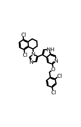 Clc1ccc(COc2cc3c(-c4cncn4C4CCCc5c(Cl)ccc(Cl)c54)c[nH]c3cn2)c(Cl)c1